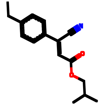 CCc1ccc(C(C#N)=CC(=O)OCC(C)C)cc1